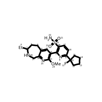 CCC1CCc2cc(-c3nc(C4(F)CCCC4)ccc3S(N)(=O)=O)c(OC)nc2CN1